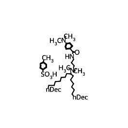 CCCCCCCCCCCCCCCCCC(CCCCCCCCCCCCCCCC)[N+](C)(C)CCCNC(=O)c1ccc(N(C)C)cc1.Cc1ccc(S(=O)(=O)O)cc1